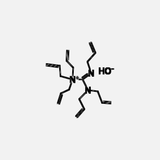 C=CCN=C(N(CC=C)CC=C)[N+](CC=C)(CC=C)CC=C.[OH-]